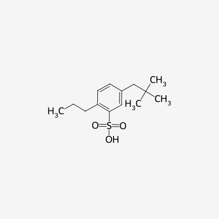 CCCc1ccc(CC(C)(C)C)cc1S(=O)(=O)O